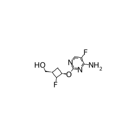 Nc1nc(O[C@@H]2C[C@H](CO)C2F)ncc1F